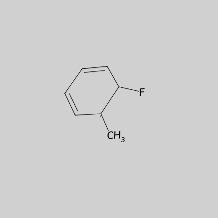 C[C]1C=CC=CC1F